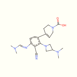 CN(C)/C=N/c1ccc(C2=CCN(C(=O)O)CC2)c(N2CC(N(C)C)C2)c1C#N